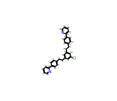 Clc1cc(CCc2ccc(-c3ccccn3)cc2)cc(CCc2ccc(-c3ccccn3)cc2)c1